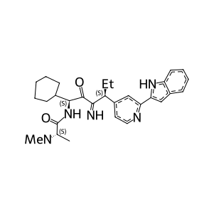 CC[C@H](C(=N)C(=O)[C@@H](NC(=O)[C@H](C)NC)C1CCCCC1)c1ccnc(-c2cc3ccccc3[nH]2)c1